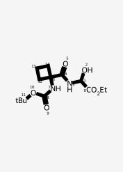 CCOC(=O)C(O)NC(=O)C1(NC(=O)OC(C)(C)C)CCC1